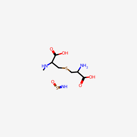 CNC(CSCC(N)C(=O)O)C(=O)O.N=S=O